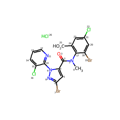 CN(C(=O)c1cc(Br)nn1-c1ncccc1Cl)c1c(Br)cc(Cl)cc1C(=O)O.Cl